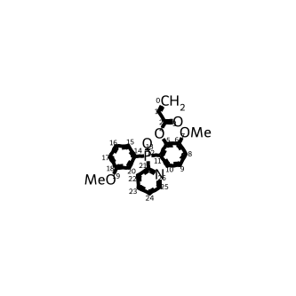 C=CC(=O)Oc1c(OC)cccc1P(=O)(c1cccc(OC)c1)c1ccccn1